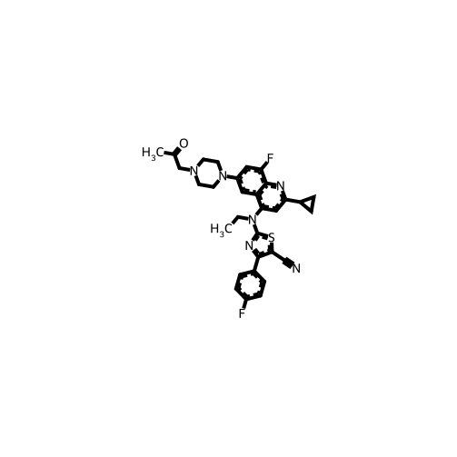 CCN(c1nc(-c2ccc(F)cc2)c(C#N)s1)c1cc(C2CC2)nc2c(F)cc(N3CCN(CC(C)=O)CC3)cc12